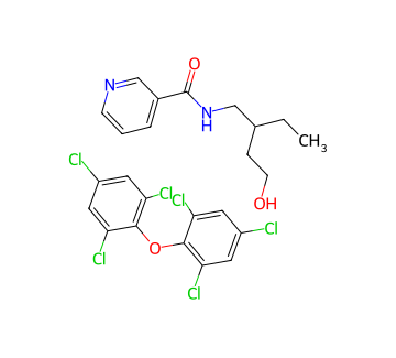 CCC(CCO)CNC(=O)c1cccnc1.Clc1cc(Cl)c(Oc2c(Cl)cc(Cl)cc2Cl)c(Cl)c1